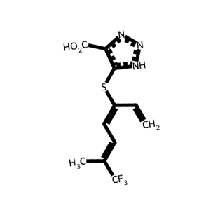 C=C/C(=C\C=C(/C)C(F)(F)F)Sc1[nH]nnc1C(=O)O